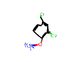 NOc1ccc(Cl)cc1Cl